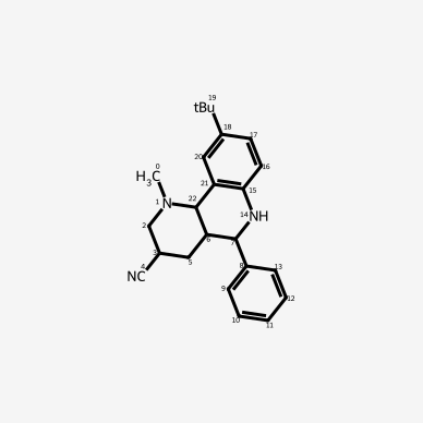 CN1CC(C#N)CC2C(c3ccccc3)Nc3ccc(C(C)(C)C)cc3C21